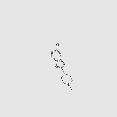 CN1CCC(c2cc3cc(Cl)ccc3o2)CC1